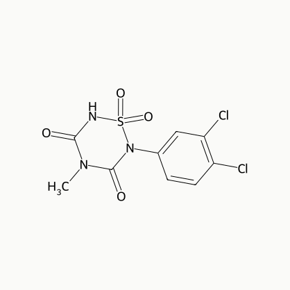 CN1C(=O)NS(=O)(=O)N(c2ccc(Cl)c(Cl)c2)C1=O